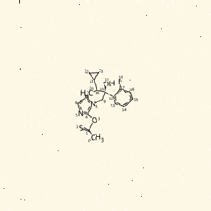 CC(=S)Oc1ncnn1C[C@@](O)(c1ccccc1F)C(C)C1CC1